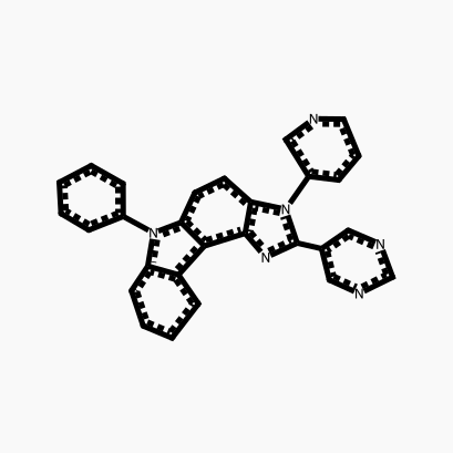 c1ccc(-n2c3ccccc3c3c4nc(-c5cncnc5)n(-c5cccnc5)c4ccc32)cc1